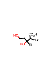 CCCC(C(=O)O)C(O)(CC)CCO